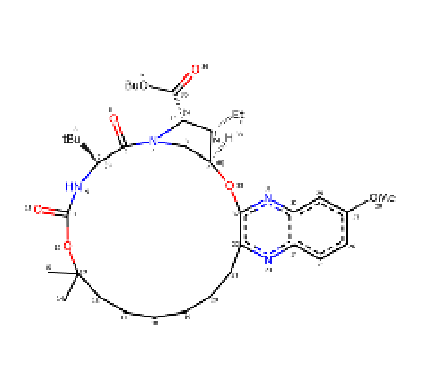 CC[C@@H]1[C@@H]2CN(C(=O)[C@H](C(C)(C)C)NC(=O)OC(C)(C)CCCCCCc3nc4ccc(OC)cc4nc3O2)[C@@H]1C(=O)OCC(C)C